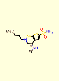 CCN[C@H]1CN(CCCOC)Sc2sc(S(N)(=O)=O)cc21